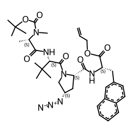 C=CCOC(=O)[C@H](Cc1ccc2ccccc2c1)NC(=O)[C@@H]1C[C@H](N=[N+]=[N-])CN1C(=O)[C@@H](NC(=O)[C@H](C)N(C)C(=O)OC(C)(C)C)C(C)(C)C